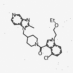 CCOCCn1cc(C(=O)N2CCC(Cn3c(C)nc4cnccc43)CC2)c2c(Cl)cccc21